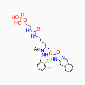 CC(=O)N(NCc1cccc(F)c1Cl)[C@@H](CCCNC(=O)NCCOP(=O)(O)O)COC(=O)Nc1cc2ccccc2cn1